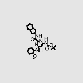 COc1ccccc1Nc1cc(NC(=O)OC(C)(C)C)nc(C(=O)NC2Cc3ccccc3C2)n1